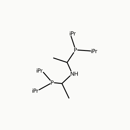 CC(C)P(C(C)C)C(C)NC(C)P(C(C)C)C(C)C